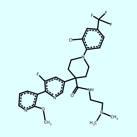 COc1ncccc1-c1ncc(C2(C(=O)NCCN(C)C)CCN(c3ccc(C(F)(F)F)cc3Cl)CC2)cc1F